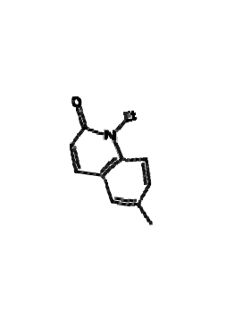 CCn1c(=O)ccc2cc(C)ccc21